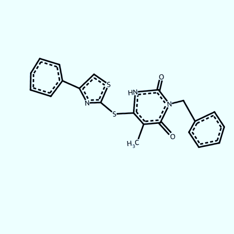 Cc1c(Sc2nc(-c3ccccc3)cs2)[nH]c(=O)n(Cc2ccccc2)c1=O